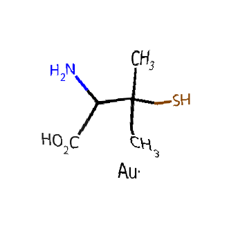 CC(C)(S)C(N)C(=O)O.[Au]